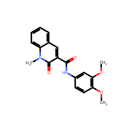 COc1ccc(NC(=O)c2cc3ccccc3n(C)c2=O)cc1OC